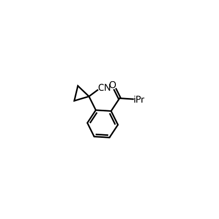 CC(C)C(=O)c1ccccc1C1(C#N)CC1